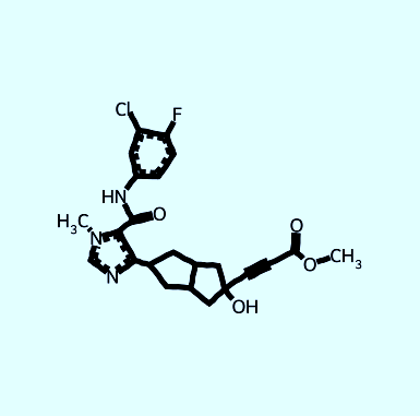 COC(=O)C#CC1(O)CC2CC(c3ncn(C)c3C(=O)Nc3ccc(F)c(Cl)c3)CC2C1